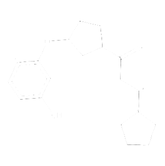 Cc1[c]ccc(OC2CCC(C(=O)CCC3C[CH]CC3)C2)c1